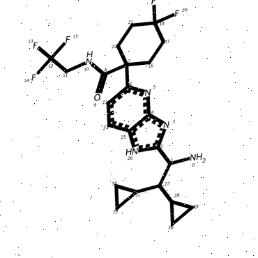 NC(c1nc2nc(C3(C(=O)NCC(F)(F)F)CCC(F)(F)CC3)ccc2[nH]1)C(C1CC1)C1CC1